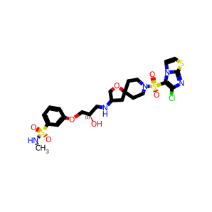 CNS(=O)(=O)c1cccc(OC[C@@H](O)CNC2COC3(CCN(S(=O)(=O)c4c(Cl)nc5sccn45)CC3)C2)c1